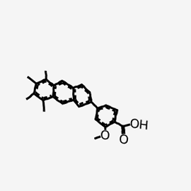 COc1cc(-c2ccc3cc4c(C)c(C)c(C)c(C)c4cc3c2)ccc1C(=O)O